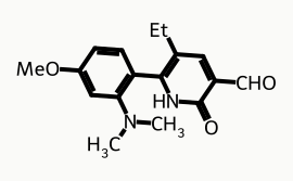 CCc1cc(C=O)c(=O)[nH]c1-c1ccc(OC)cc1N(C)C